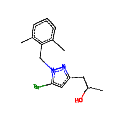 Cc1cccc(C)c1Cn1nc(CC(C)O)cc1Br